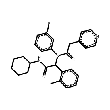 Cc1ccccc1C(C(=O)NC1CCCCC1)N(C(=O)Cc1ccncc1)c1cccc(F)c1